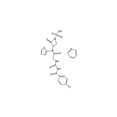 O=C(NCC(=O)N(c1cccs1)C1CN(S(=O)(=O)O)C1=O)NC(=O)c1ccc(Cl)cc1.c1ccncc1